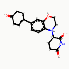 O=C1CCC(c2ccc3c(c2)OCCN3C2CCC(=O)NC2=O)CC1